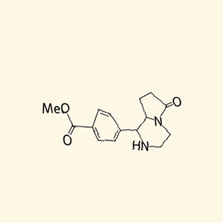 COC(=O)c1ccc(C2NCCN3C(=O)CCC23)cc1